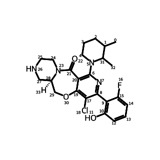 CC1CCCN(c2nc(-c3c(O)cccc3F)c(Cl)c3c2C(=O)N2CCNC[C@@H]2CO3)C1C